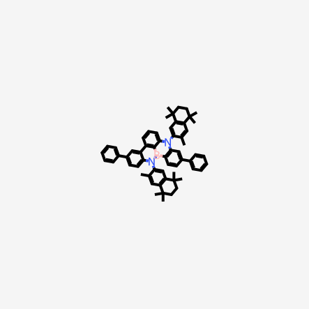 Cc1cc2c(cc1N1B3c4ccc(-c5ccccc5)cc4N(c4cc5c(cc4C)C(C)(C)CCC5(C)C)c4cccc(c43)-c3cc(-c4ccccc4)ccc31)C(C)(C)CCC2(C)C